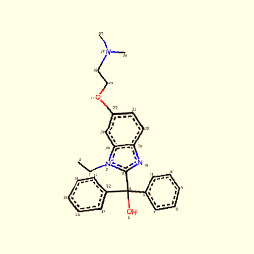 CCn1c(C(O)(c2ccccc2)c2ccccc2)nc2ccc(OCCN(C)C)cc21